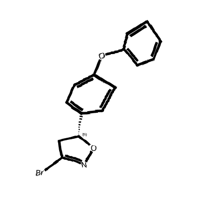 BrC1=NO[C@@H](c2ccc(Oc3ccccc3)cc2)C1